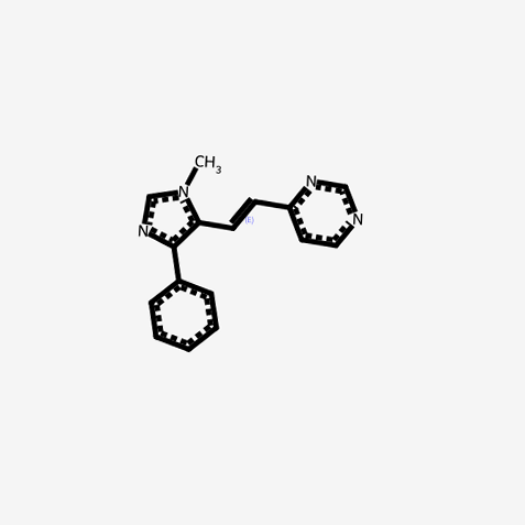 Cn1cnc(-c2ccccc2)c1/C=C/c1ccncn1